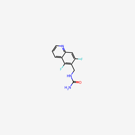 NC(=O)NCc1c(F)cc2ncccc2c1F